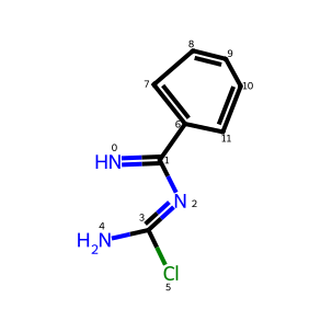 N=C(/N=C(\N)Cl)c1ccccc1